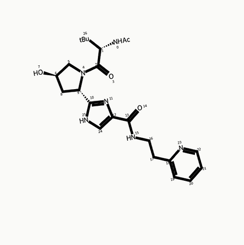 CC(=O)N[C@H](C(=O)N1C[C@H](O)C[C@H]1c1nc(C(=O)NCCc2ccccn2)c[nH]1)C(C)(C)C